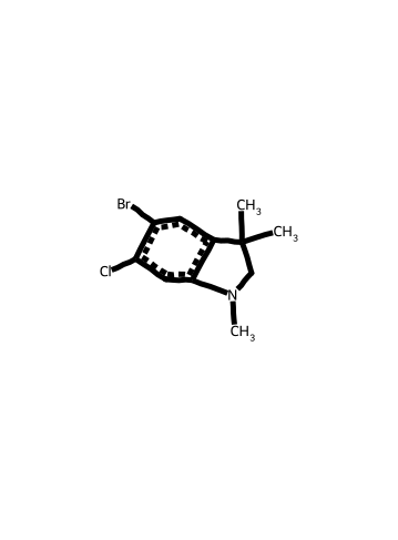 CN1CC(C)(C)c2cc(Br)c(Cl)cc21